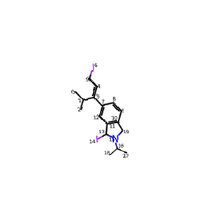 CC(C)/C(=C\CI)c1ccc2c(c1)C(I)N(C(C)C)C2